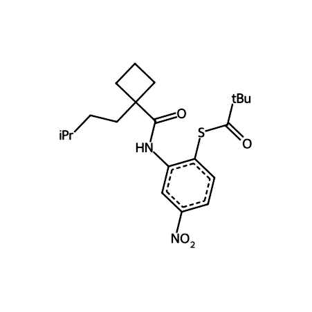 CC(C)CCC1(C(=O)Nc2cc([N+](=O)[O-])ccc2SC(=O)C(C)(C)C)CCC1